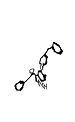 O=C(c1ccccc1)c1c[nH]c2ccc(N3CCC(Cc4ccccc4)CC3)cc12